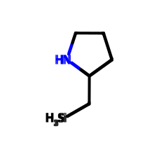 [SiH3]CC1CCCN1